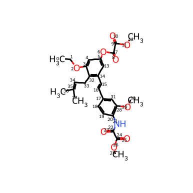 CCOc1cc(OC(=O)C(=O)OC)cc(/C=C/c2ccc(NC(=O)C(=O)OC)c(OC)c2)c1CC=C(C)C